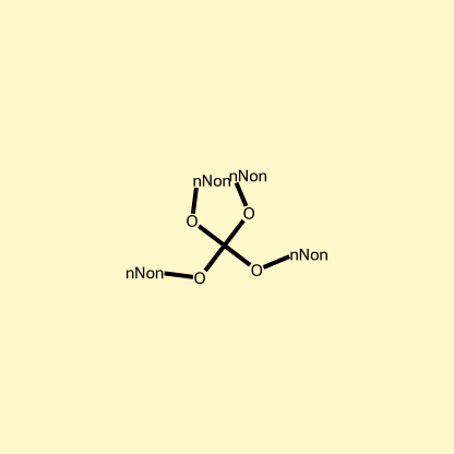 CCCCCCCCCOC(OCCCCCCCCC)(OCCCCCCCCC)OCCCCCCCCC